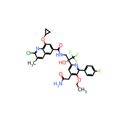 CCOc1c(CC(N)=O)cc([C@@](O)(CNC(=O)c2cc(OC3CC3)c3nc(Cl)c(C)cc3c2)C(F)(F)F)nc1-c1ccc(F)cc1